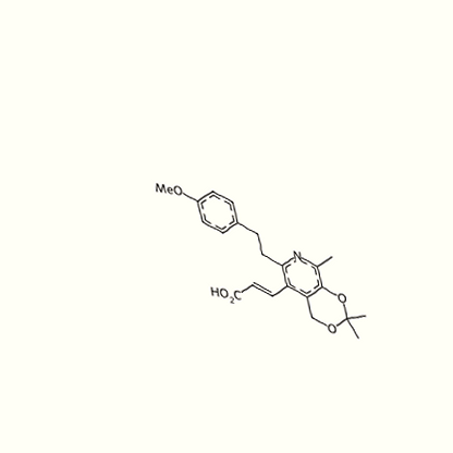 COc1ccc(CCc2nc(C)c3c(c2C=CC(=O)O)COC(C)(C)O3)cc1